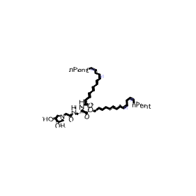 CCCCC/C=C\C/C=C\CCCCCCCCOC(=O)[C@H](CNC(=O)CN1C[C@@H](O)[C@H](O)C1)NC(=O)CCCCCCC/C=C\C/C=C\CCCCC